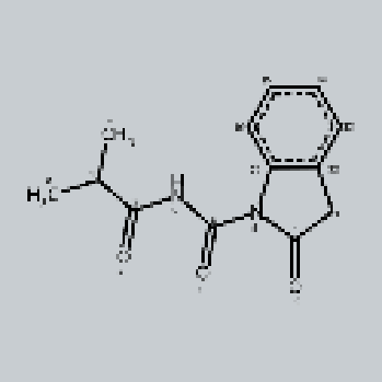 CC(C)C(=O)NC(=O)N1C(=O)Cc2ccccc21